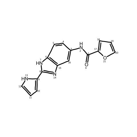 O=C(Nc1ccc2[nH]c(-c3ccc[nH]3)nc2c1)c1ccco1